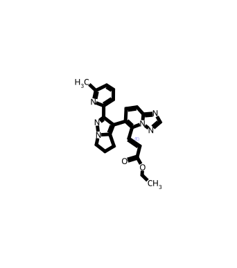 CCOC(=O)/C=C/c1c(-c2c(-c3cccc(C)n3)nn3c2CCC3)ccc2ncnn12